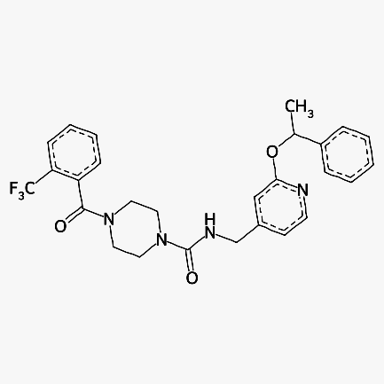 CC(Oc1cc(CNC(=O)N2CCN(C(=O)c3ccccc3C(F)(F)F)CC2)ccn1)c1ccccc1